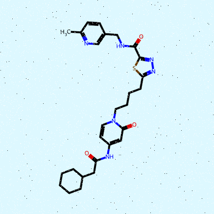 Cc1ccc(CNC(=O)c2nnc(CCCCn3ccc(NC(=O)CC4CCCCC4)cc3=O)s2)cn1